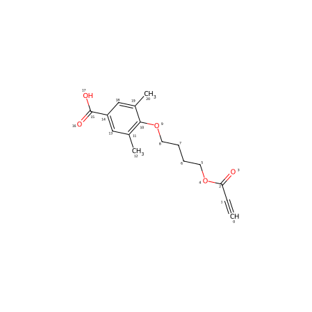 C#CC(=O)OCCCCOc1c(C)cc(C(=O)O)cc1C